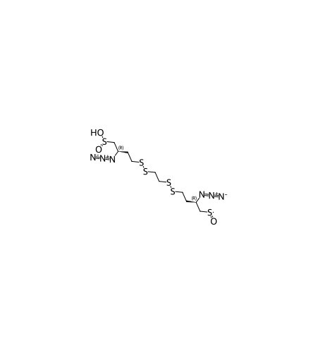 [N-]=[N+]=N[C@H](CCSSCCSSCC[C@H](CS(=O)O)N=[N+]=[N-])C[S]=O